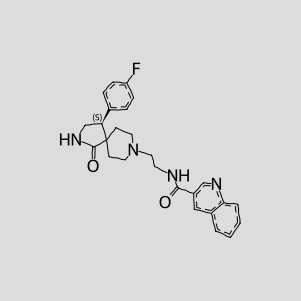 O=C(NCCN1CCC2(CC1)C(=O)NC[C@H]2c1ccc(F)cc1)c1cnc2ccccc2c1